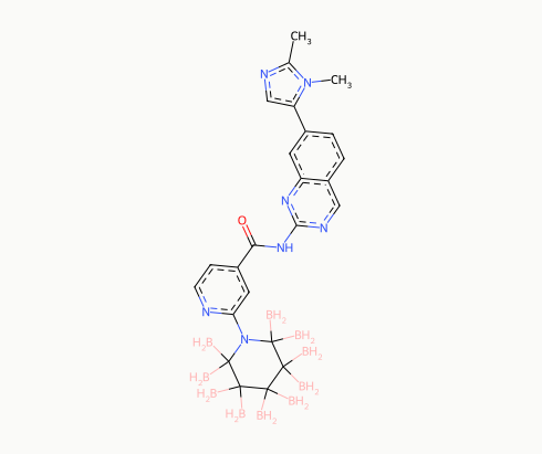 BC1(B)N(c2cc(C(=O)Nc3ncc4ccc(-c5cnc(C)n5C)cc4n3)ccn2)C(B)(B)C(B)(B)C(B)(B)C1(B)B